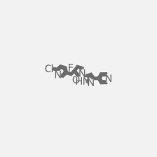 O=C1N(c2cc(-c3ccncc3)n[nH]2)CCC1(F)Cc1ccc(Cl)nc1